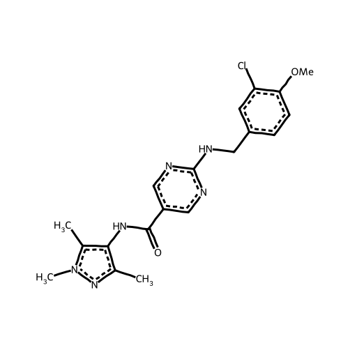 COc1ccc(CNc2ncc(C(=O)Nc3c(C)nn(C)c3C)cn2)cc1Cl